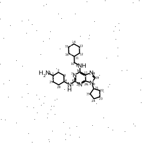 NC1CCC(Nc2nc(NCC3CCCCC3)c3ncn(C4CCCC4)c3n2)CC1